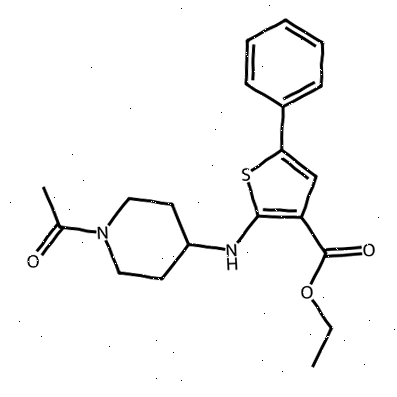 CCOC(=O)c1cc(-c2ccccc2)sc1NC1CCN(C(C)=O)CC1